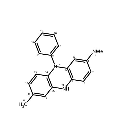 CNc1ccc2c(c1)N(c1ccccc1)c1ccc(C)cc1N2